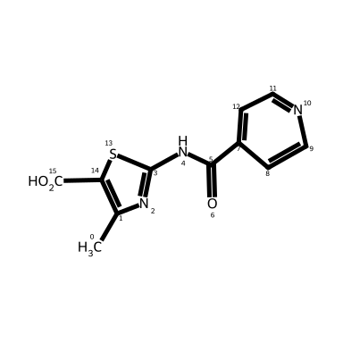 Cc1nc(NC(=O)c2ccncc2)sc1C(=O)O